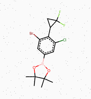 CC1(C)OB(c2cc(Cl)c(C3CC3(F)F)c(Br)c2)OC1(C)C